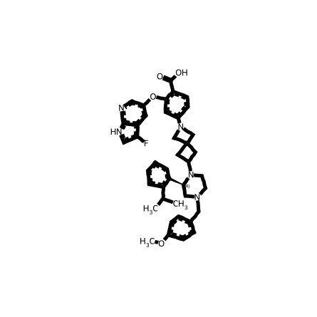 COc1ccc(CN2CCN(C3CC4(C3)CN(c3ccc(C(=O)O)c(Oc5cnc6[nH]cc(F)c6c5)c3)C4)[C@H](c3ccccc3C(C)C)C2)cc1